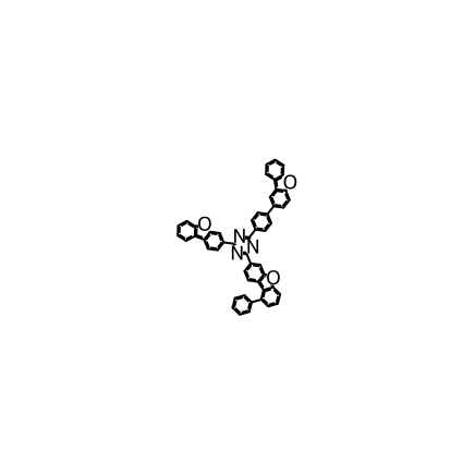 c1ccc(-c2cccc3oc4cc(-c5nc(-c6ccc(-c7ccc8oc9ccccc9c8c7)cc6)nc(-c6ccc7c(c6)oc6ccccc67)n5)ccc4c23)cc1